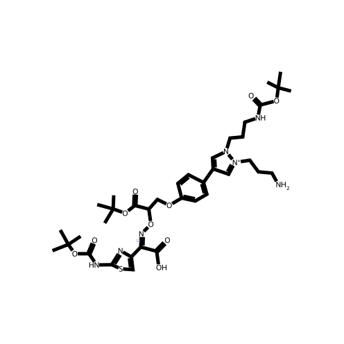 CC(C)(C)OC(=O)NCCCn1cc(-c2ccc(OCC(O/N=C(\C(=O)O)c3csc(NC(=O)OC(C)(C)C)n3)C(=O)OC(C)(C)C)cc2)c[n+]1CCCN